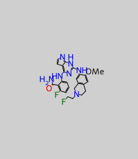 COc1cc2c(cc1Nc1nc(Nc3cccc(F)c3C(N)=O)c3ccnc-3[nH]1)CN(CCF)CC2